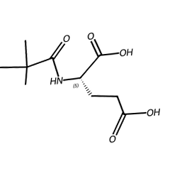 CC(C)(C)C(=O)N[C@@H](CCC(=O)O)C(=O)O